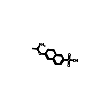 CC(N)Oc1ccc2cc(S(=O)(=O)O)ccc2c1